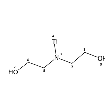 OCC[N]([Ti])CCO